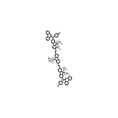 CC1(C)c2cc(/C=C/c3ccc4c(c3)C(C)(C)c3cc(N(c5ccc(F)cc5)c5cc6ccccc6c6ccccc56)ccc3-4)ccc2-c2ccc(/C=C/c3ccc4c(c3)C(C)(C)c3cc(N(c5ccc(F)cc5)c5cc6ccccc6c6ccccc56)ccc3-4)cc21